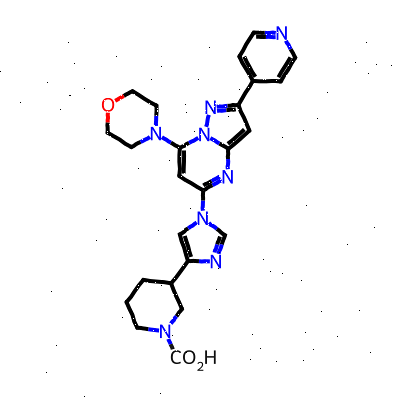 O=C(O)N1CCCC(c2cn(-c3cc(N4CCOCC4)n4nc(-c5ccncc5)cc4n3)cn2)C1